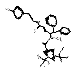 CN(C(=O)c1cc(C(F)(F)F)cc(C(F)(F)F)c1)C(C=CC(=O)NCCc1ccc(O)cc1)C(c1ccccc1)c1ccccc1